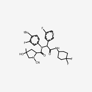 CC1(O)CC(C(=O)N(c2ccc(C(C)(C)C)c(F)c2)C(C(=O)NC2CCC(F)(F)CC2)c2cncc(F)c2)N(C#N)C1